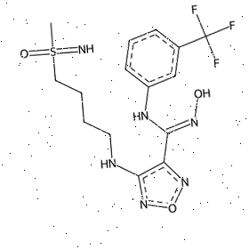 CS(=N)(=O)CCCCNc1nonc1/C(=N/O)Nc1cccc(C(F)(F)F)c1